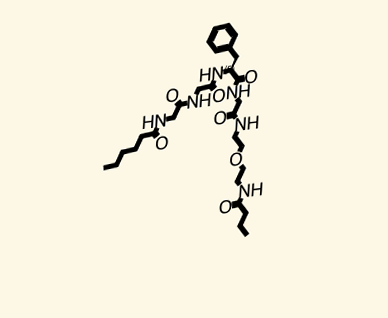 CCCCCC(=O)NCC(=O)NCC(=O)N[C@@H](Cc1ccccc1)C(=O)NCC(=O)NCCOCCNC(=O)CCC